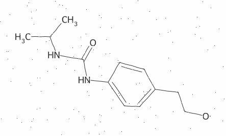 CC(C)NC(=O)Nc1ccc(CC[O])cc1